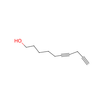 C#CCC#CCCCCCO